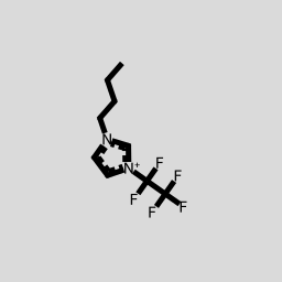 CCCCn1cc[n+](C(F)(F)C(F)(F)F)c1